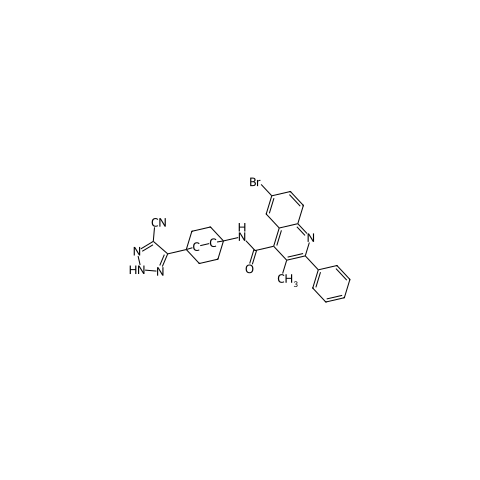 Cc1c(-c2ccccc2)nc2ccc(Br)cc2c1C(=O)NC12CCC(c3n[nH]nc3C#N)(CC1)CC2